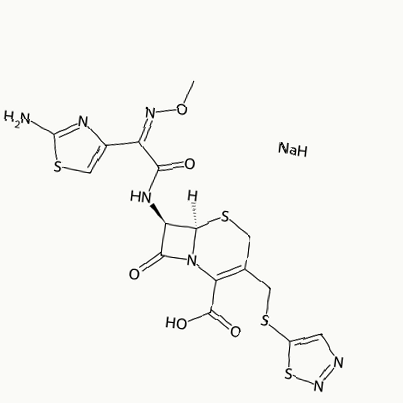 CO/N=C(\C(=O)N[C@@H]1C(=O)N2C(C(=O)O)=C(CSc3cnns3)CS[C@H]12)c1csc(N)n1.[NaH]